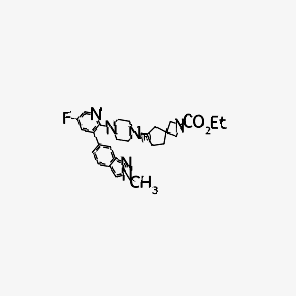 CCOC(=O)N1CC2(CC[C@@H](N3CCN(c4ncc(F)cc4-c4ccc5cn(C)nc5c4)CC3)C2)C1